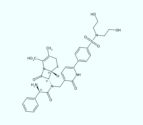 CC1=C(C(=O)O)N2C(=O)[C@@H](N(Cc3ccc(-c4ccc(S(=O)(=O)N(CCO)CCO)cc4)[nH]c3=O)C(=O)[C@H](N)c3ccccc3)[C@H]2SC1